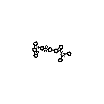 O=S(=O)(c1ccc(-c2ccc3c(c2)c2ccccc2n3-c2nc(-c3ccccc3)nc(-c3ccccc3)n2)cc1)c1ccc(-n2c3ccccc3c3ccc4c5ccccc5oc4c32)cc1